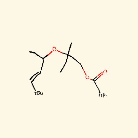 CCCC(=O)OCC(C)(C)OC(C)C=CC(C)(C)C